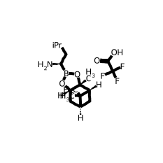 CC(C)C[C@H](N)B1O[C@H]2C[C@@H]3C[C@H](C3(C)C)[C@@]2(C)O1.O=C(O)C(F)(F)F